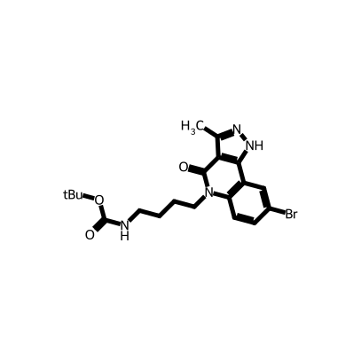 Cc1n[nH]c2c1c(=O)n(CCCCNC(=O)OC(C)(C)C)c1ccc(Br)cc21